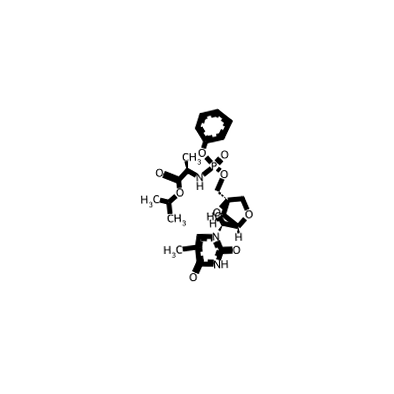 Cc1cn([C@@H]2O[C@@]3(COP(=O)(N[C@H](C)C(=O)OC(C)C)Oc4ccccc4)CO[C@@H]2[C@@H]3O)c(=O)[nH]c1=O